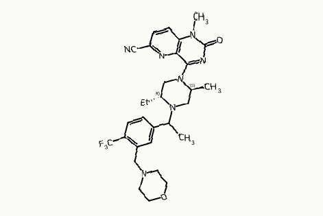 CC[C@@H]1CN(c2nc(=O)n(C)c3ccc(C#N)nc23)[C@@H](C)CN1C(C)c1ccc(C(F)(F)F)c(CN2CCOCC2)c1